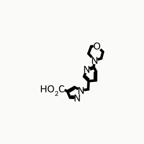 O=C(O)c1cnn(Cc2ccc(N3CCOCC3)nc2)c1